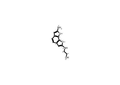 Nc1cc2ccc3cc(NCCO)oc3c2o1